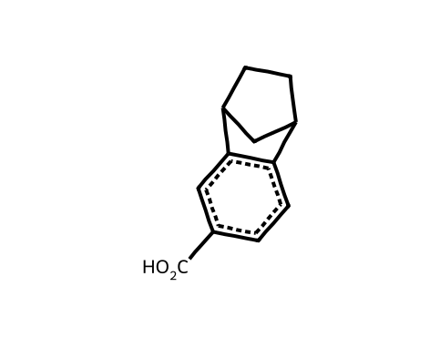 O=C(O)c1ccc2c(c1)C1CCC2C1